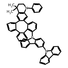 CC1(C)CCN(c2ccccc2)c2cc3c(cc21)-c1ccccc1-c1ccccc1-c1c-3cccc1-n1c2ccccc2c2cc(-n3c4ccccc4c4ccccc43)ccc21